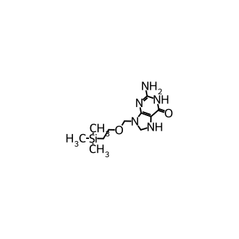 C[Si](C)(C)CCOCN1CNc2c1nc(N)[nH]c2=O